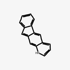 c1c[nH]c2cc3cc4ccccc4c3cc2c1